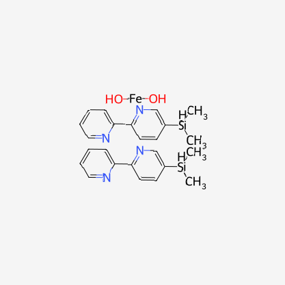 C[SiH](C)c1ccc(-c2ccccn2)nc1.C[SiH](C)c1ccc(-c2ccccn2)nc1.[OH][Fe][OH]